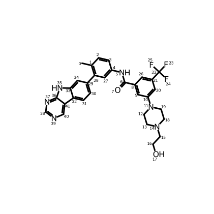 Cc1ccc(NC(=O)c2cc(N3CCN(CCO)CC3)cc(C(F)(F)F)c2)cc1-c1ccc2c(c1)[nH]c1ncncc12